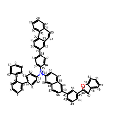 c1ccc(-c2ccccc2-c2ccc(N(c3ccc(-c4ccc5c(ccc6ccccc65)c4)cc3)c3ccc4cc(-c5cccc(-c6cc7ccccc7o6)c5)ccc4c3)cc2)cc1